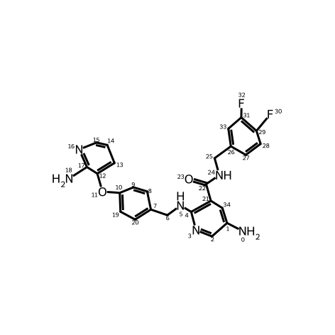 Nc1cnc(NCc2ccc(Oc3cccnc3N)cc2)c(C(=O)NCc2ccc(F)c(F)c2)c1